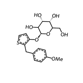 COc1ccc(Cc2sccc2O[C@@H]2OC(CO)[C@@H](O)[C@@H](O)C2O)cc1